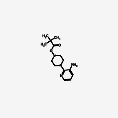 CC(C)(C)C(=O)ON1CCN(c2ncccc2N)CC1